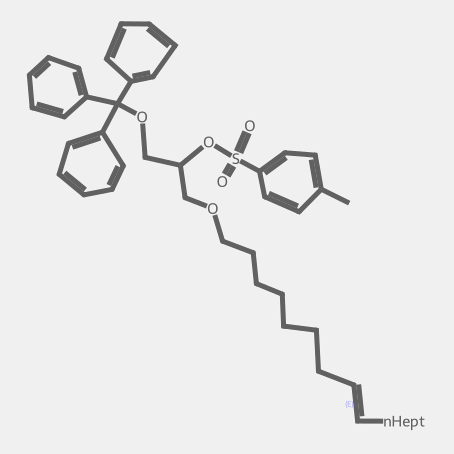 CCCCCCC/C=C/CCCCCCCOCC(COC(c1ccccc1)(c1ccccc1)c1ccccc1)OS(=O)(=O)c1ccc(C)cc1